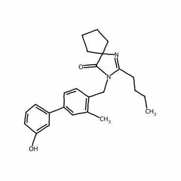 CCCCC1=NC2(CCCC2)C(=O)N1Cc1ccc(-c2cccc(O)c2)cc1C